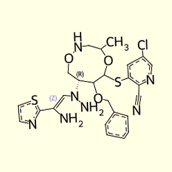 CC1CNOC[C@@H](N(N)/C=C(\N)c2nccs2)C(OCc2ccccc2)C(Sc2cc(Cl)cnc2C#N)O1